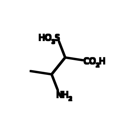 CC(N)C(C(=O)O)S(=O)(=O)O